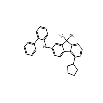 CC1(C)c2cc(Nc3ccccc3-c3ccccc3)ccc2-c2c(C3CCCC3)cccc21